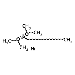 CCCCCCCCCCCCCCCCCCCCCCCCCCCC#CC(C=Nc1ccc(CCCCC)c(CCCCC)c1)=Nc1ccc(CCCCC)c(CCCCC)c1.[Ni]